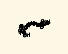 Cc1ccccc1[C@@H]1CC(F)(F)c2cc(O)ccc2[C@@H]1c1ccc(N2CCC(CN3CCN(c4ccc5c(c4)CN([C@H]4CCC(=O)NC4=O)C5=O)CC3)CC2)cc1